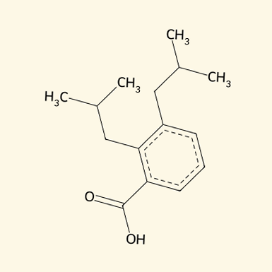 CC(C)Cc1cccc(C(=O)O)c1CC(C)C